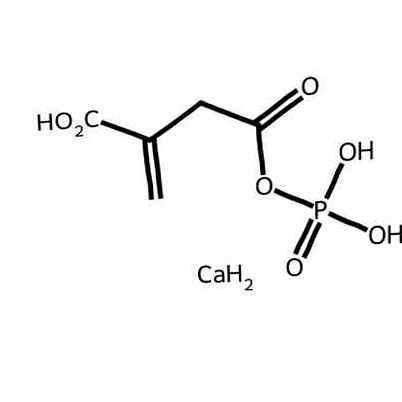 C=C(CC(=O)OP(=O)(O)O)C(=O)O.[CaH2]